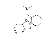 CN(C)CC1CCCC[C@]12Cc1ccccc1O2